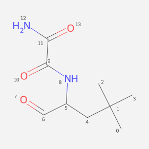 CC(C)(C)CC(C=O)NC(=O)C(N)=O